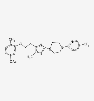 CC(=O)Oc1ccc(C)c(OCCc2nc(N3CCN(c4ccc(C(F)(F)F)cn4)CC3)sc2C)c1